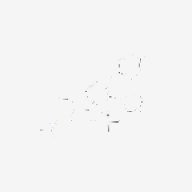 C=N/C(C[C@@H](C)S(=O)(=O)Nc1nnc(-c2cncc(CC)c2)n1-c1c(OC)cccc1OC)=N\C=C(/C)F